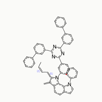 C=c1/c(=C\C=C/C)n(-c2cccc(-c3nc(-c4cccc(-c5ccccc5)c4)nc(-c4cccc(-c5ccccc5)c4)n3)c2)c2c1ccc1ccn(-c3ccccc3)c12